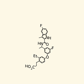 CCc1cc(Oc2cc(F)cc(C(C)NC(=O)c3[nH]c4ccc(F)cc4c3C)c2)ccc1CCC(=O)O